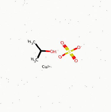 CC(C)O.O=S(=O)([O-])[O-].[Cu+2]